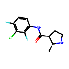 C[C@@H]1NCC[C@@H]1C(=O)Nc1ccc(F)c(Cl)c1F